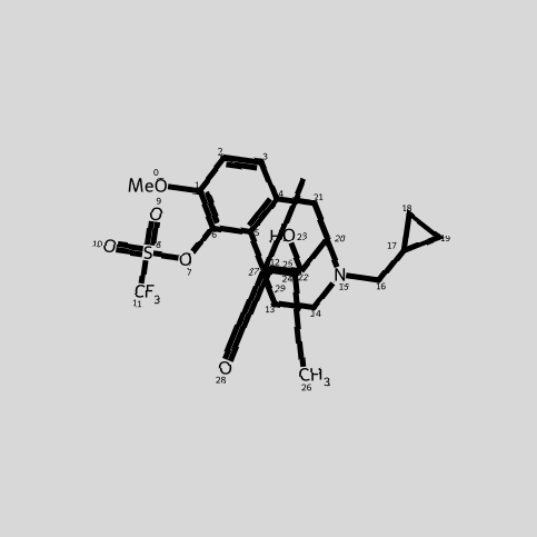 COc1ccc2c(c1OS(=O)(=O)C(F)(F)F)C13CCN(CC4CC4)C(C2)C1(O)CC(C)C(=O)C3